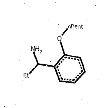 CCCCCOc1ccccc1C(N)CC